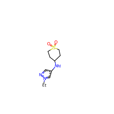 CCn1cc(NC2CCS(=O)(=O)CC2)cn1